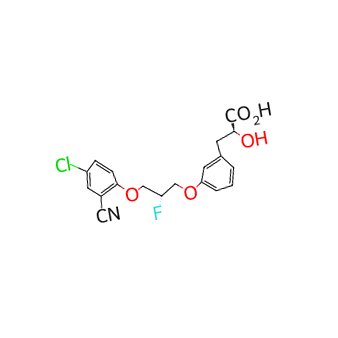 N#Cc1cc(Cl)ccc1OC[C@@H](F)COc1cccc(C[C@H](O)C(=O)O)c1